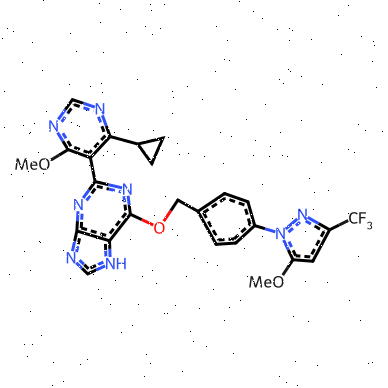 COc1ncnc(C2CC2)c1-c1nc(OCc2ccc(-n3nc(C(F)(F)F)cc3OC)cc2)c2[nH]cnc2n1